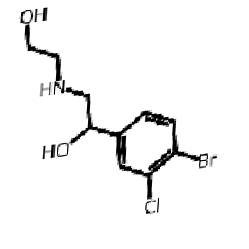 OCCNCC(O)c1ccc(Br)c(Cl)c1